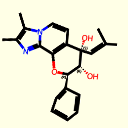 CC(C)=C[C@]1(O)c2ccn3c(C)c(C)nc3c2O[C@H](c2ccccc2)[C@H]1O